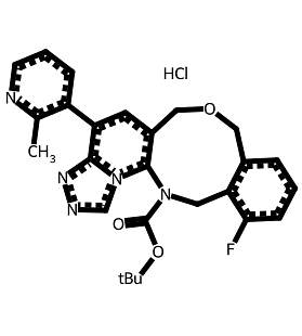 Cc1ncccc1-c1cc2c(n3cnnc13)N(C(=O)OC(C)(C)C)Cc1c(F)cccc1COC2.Cl